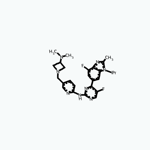 Cc1nc2c(F)cc(-c3nc(Nc4ccc(CN5CC(N(C)C)C5)cn4)ncc3F)cc2n1C(C)C